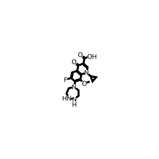 COc1c(N2CCNNCC2)c(F)cc2c(=O)c(C(=O)O)cn(C3CC3)c12